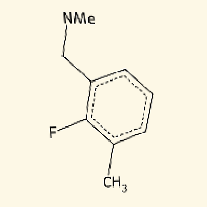 CNCc1cccc(C)c1F